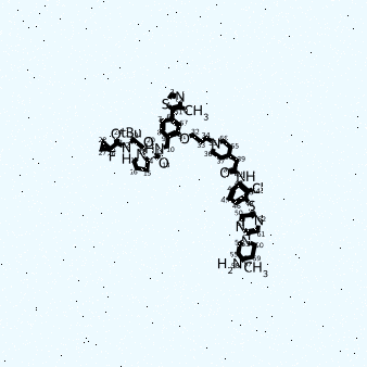 Cc1ncsc1-c1ccc(CNC(=O)[C@@H]2CCCN2C(=O)[C@@H](NC(=O)C2(F)CC2)C(C)(C)C)c(OCCCN2CCC(CC(=O)Nc3cccc(Sc4cnc(N5CCC(C)(N)CC5)cn4)c3Cl)CC2)c1